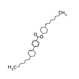 CCCCCCC[C@H]1CC[C@H](OC(=O)c2ccc(C3=CCC(CCCCCC)CC3)cc2)CC1